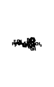 C[C@@]1(c2cccc(F)c2)CC1(NS(=O)(=O)c1ccc(-c2cc(C(F)(F)F)on2)s1)C(=O)O